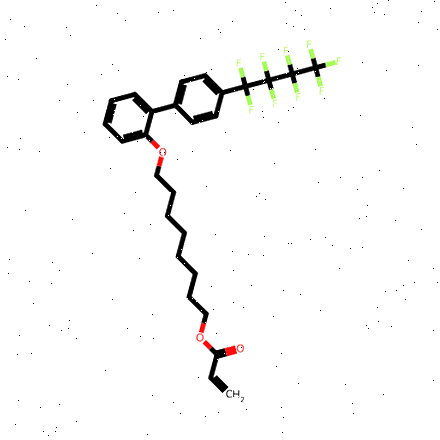 C=CC(=O)OCCCCCCCCOc1ccccc1-c1ccc(C(F)(F)C(F)(F)C(F)(F)C(F)(F)F)cc1